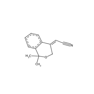 CC1(C)OC/C(=C\C#N)c2ccccc21